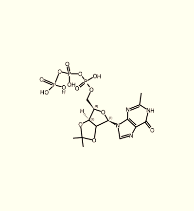 Cc1nc2c(ncn2[C@@H]2O[C@H](COP(=O)(O)OP(=O)(O)OP(=O)(O)O)[C@@H]3OC(C)(C)OC32)c(=O)[nH]1